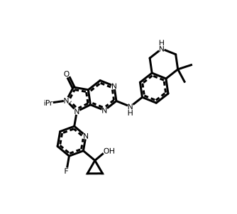 CC(C)n1c(=O)c2cnc(Nc3ccc4c(c3)CNCC4(C)C)nc2n1-c1ccc(F)c(C2(O)CC2)n1